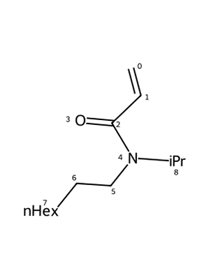 C=CC(=O)N(CCCCCCCC)C(C)C